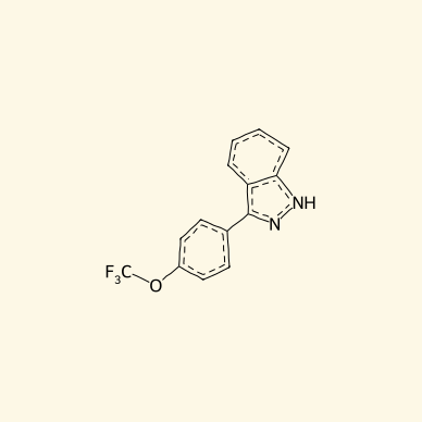 FC(F)(F)Oc1ccc(-c2n[nH]c3ccccc23)cc1